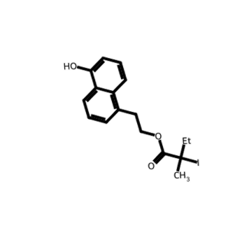 CCC(C)(I)C(=O)OCCc1cccc2c(O)cccc12